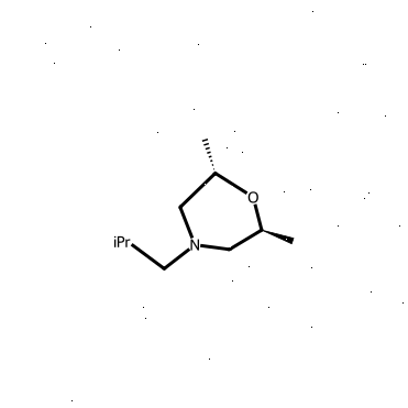 CC(C)CN1C[C@H](C)O[C@@H](C)C1